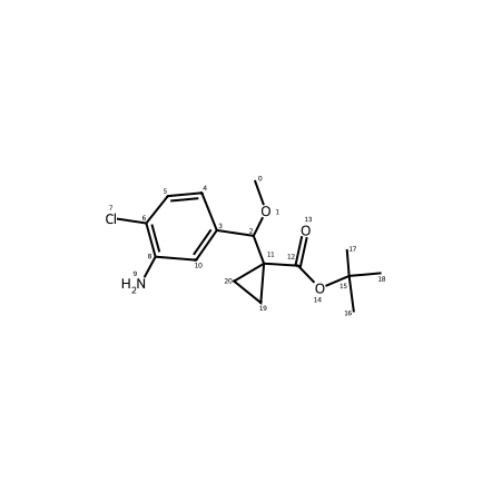 COC(c1ccc(Cl)c(N)c1)C1(C(=O)OC(C)(C)C)CC1